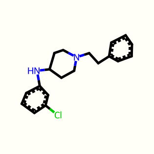 Clc1cccc(NC2CCN(CCc3ccccc3)CC2)c1